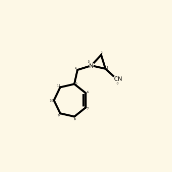 N#CC1CN1CC1C=CCCCC1